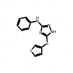 c1ccc(Nc2n[nH]c(Sc3ccsc3)n2)cc1